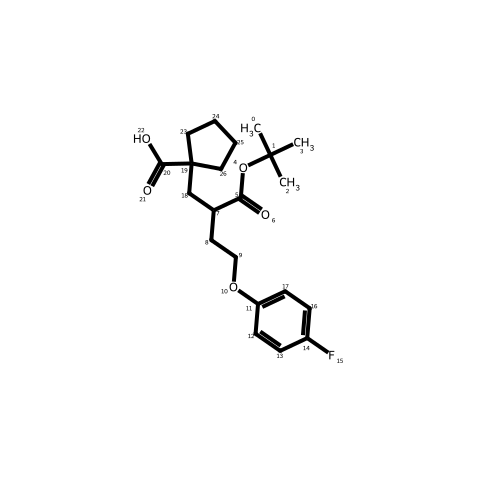 CC(C)(C)OC(=O)C(CCOc1ccc(F)cc1)CC1(C(=O)O)CCCC1